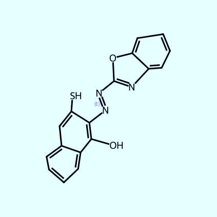 Oc1c(/N=N/c2nc3ccccc3o2)c(S)cc2ccccc12